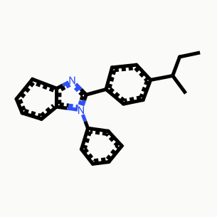 CCC(C)c1ccc(-c2nc3ccccc3n2-c2ccccc2)cc1